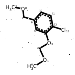 COCOc1cc(COC)ccc1Cl